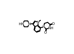 Cn1cc(N2CCNCC2)c2cccc(N3CCC(=O)NC3=O)c21